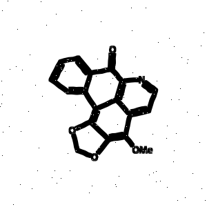 COc1c2c(c3c4c(nccc14)C(=O)c1ccccc1-3)OCO2